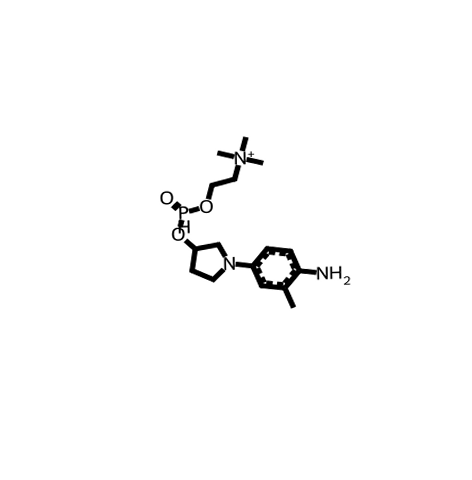 Cc1cc(N2CCC(O[PH](=O)OCC[N+](C)(C)C)C2)ccc1N